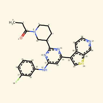 CCC(=O)N1CCCC(c2nc(Nc3cccc(F)c3)cc(-c3csc4cnccc34)n2)C1